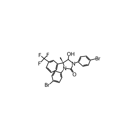 C[C@@]1(c2cccc(C(F)(F)F)c2)C(O)N(c2ccc(Br)cc2)C(=O)N1c1ccc(Br)cc1